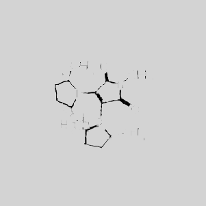 C[C@@H]1CC[C@@H](C)P1C1=C(P2[C@H](C)CC[C@H]2C)C(=O)N(C)C1=O